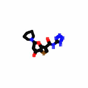 O=C(Nc1nnn[nH]1)c1csc2c(=O)cc(N3CCCCC3)oc12